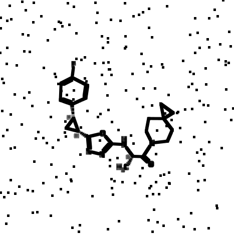 C[C@H](Nc1nnc([C@@H]2C[C@@H]2c2ccc(F)cc2)o1)C(=O)N1CCC2(CC1)CC2